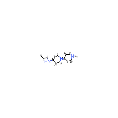 CCCNC1CCN(C2CCN(C)CC2)CC1